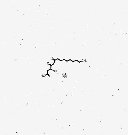 CCCCCCCCCC(=O)OC(=O)C(N)CC(=O)O.[KH].[KH]